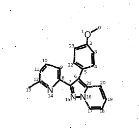 COc1ccc(-c2c(-c3cccc(C)n3)nn3ccccc23)cc1